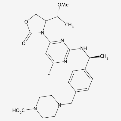 CO[C@H](C)C1COC(=O)N1c1cc(F)nc(N[C@@H](C)c2ccc(CN3CCN(C(=O)O)CC3)cc2)n1